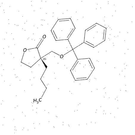 CCCC[C@@]1(COC(c2ccccc2)(c2ccccc2)c2ccccc2)CCOC1=O